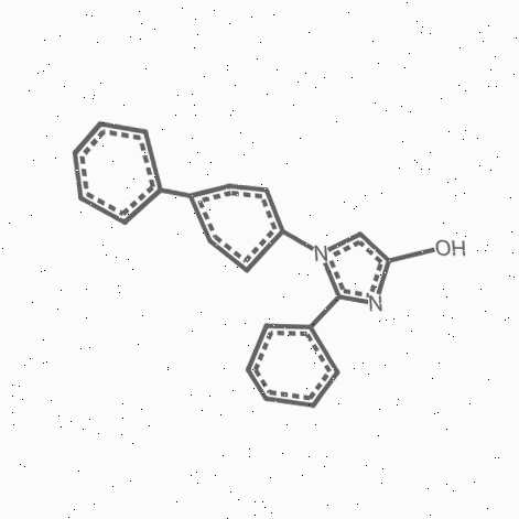 Oc1cn(-c2ccc(-c3ccccc3)cc2)c(-c2ccccc2)n1